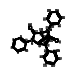 O=C1c2c3n(-c4ccccc4)c(=O)n2[N+]1(c1ccccc1)C=C3c1ccccn1